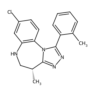 Cc1ccccc1-c1nnc2n1-c1ccc(Cl)cc1NC[C@H]2C